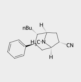 CCCC[C@@H]1[C@H]2C[C@H](C#N)[C@@H](C[C@H]1c1ccccc1)N2C